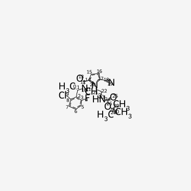 C[C@@H](c1c(F)cccc1Cl)N(C)C(=O)c1ccc(C#N)n1CCNC(=O)OC(C)(C)C